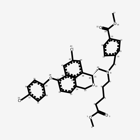 COC(=O)CCCCN(Cc1ccc(C(=O)OC)cc1)C[C@H](OCc1ccc(Oc2ccc(Cl)cc2)cc1)c1cccc(Cl)c1